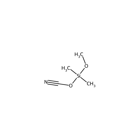 CO[Si](C)(C)OC#N